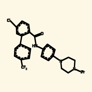 CC(C)N1CCN(c2ccc(NC(=O)c3ccc(Cl)cc3-c3ccc(C(F)(F)F)cc3)cc2)CC1